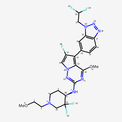 COCCN1CC[C@@H](Nc2nc(OC)c3c(-c4ccc5nnn(CC(F)F)c5c4)c(F)cn3n2)C(F)(F)C1